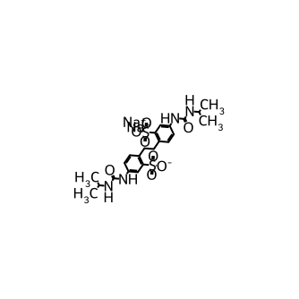 CC(C)NC(=O)Nc1ccc(CCc2ccc(NC(=O)NC(C)C)cc2S(=O)(=O)[O-])c(S(=O)(=O)[O-])c1.[Na+].[Na+]